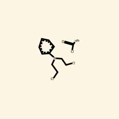 CCCC(=O)Cl.ClCCN(CCCl)c1ccccc1